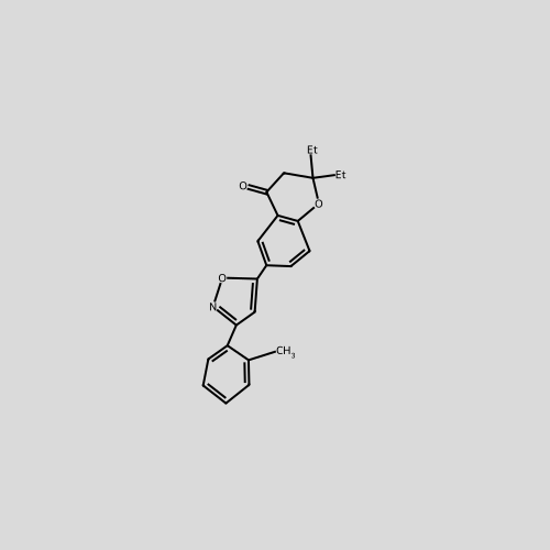 CCC1(CC)CC(=O)c2cc(-c3cc(-c4ccccc4C)no3)ccc2O1